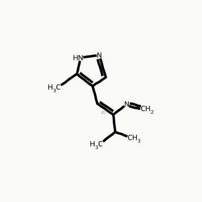 C=N/C(=C\c1cn[nH]c1C)C(C)C